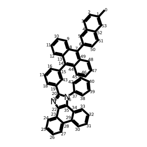 Cc1ccc2cc(-c3c4ccccc4c(-c4cccc(-c5nc6c7ccccc7c7ccccc7c6n5-c5ccccc5)c4)c4ccccc34)ccc2c1